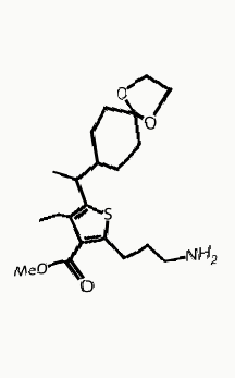 COC(=O)c1c(CCCN)sc(C(C)C2CCC3(CC2)OCCO3)c1C